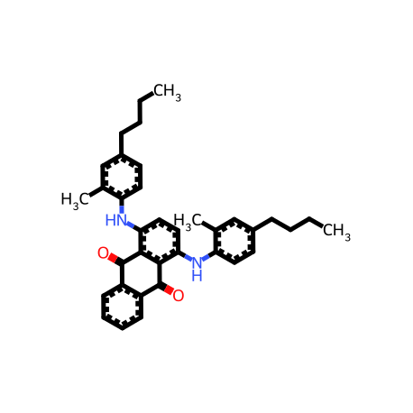 CCCCc1ccc(Nc2ccc(Nc3ccc(CCCC)cc3C)c3c2C(=O)c2ccccc2C3=O)c(C)c1